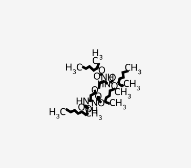 CCCCCC(CC)OC(=O)NC(CCOCCC(NC(=O)OC(CC)CCCCC)NC(=O)OC(CC)CCCCC)NC(=O)OC(CC)CCCCC